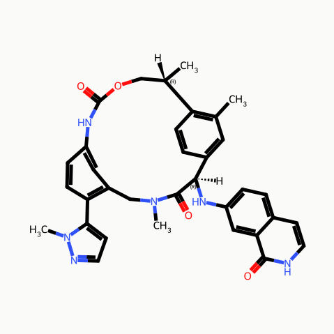 Cc1cc2ccc1[C@@H](C)COC(=O)Nc1ccc(-c3ccnn3C)c(c1)CN(C)C(=O)[C@@H]2Nc1ccc2cc[nH]c(=O)c2c1